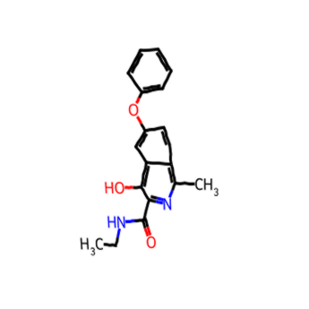 CCNC(=O)c1nc(C)c2ccc(Oc3ccccc3)cc2c1O